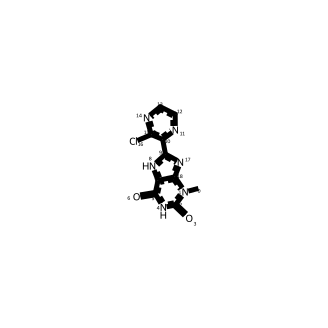 Cn1c(=O)[nH]c(=O)c2[nH]c(-c3nccnc3Cl)nc21